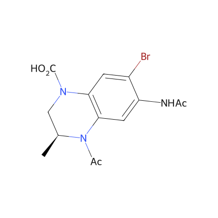 CC(=O)Nc1cc2c(cc1Br)N(C(=O)O)C[C@H](C)N2C(C)=O